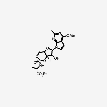 CCOC(=O)[C@H](C)NP1(=O)OCC2O[C@@H](n3cnc4c(OC)nc(C)nc43)[C@@H](O)[C@@H]2O1